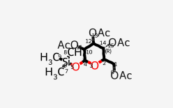 CC(=O)OCC1OC(O[Si](C)(C)C)C(OC(C)=O)C(OC(C)=O)[C@@H]1OC(C)=O